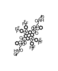 O=C(CCOC(=O)C(Cc1ccccc1)N1C(=O)c2cc(Oc3ccc(C(F)(F)F)cc3)c3c4c(Oc5ccc(C(F)(F)F)cc5)cc5c6c(cc(Oc7ccc(C(F)(F)F)cc7)c(c7c(Oc8ccc(C(F)(F)F)cc8)cc(c2c37)C1=O)c64)C(=O)N(C(Cc1ccccc1)C(=O)OCCC(=O)NCC1CO1)C5=O)NCC1CO1